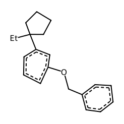 CCC1(c2cccc(OCc3ccccc3)c2)CCCC1